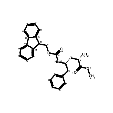 COC(=O)[C@@H](C)C[C@H](Cc1ccccc1)NC(=O)OCC1c2ccccc2-c2ccccc21